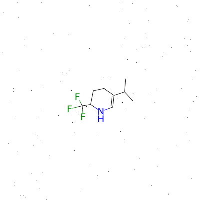 CC(C)C1=CNC(C(F)(F)F)CC1